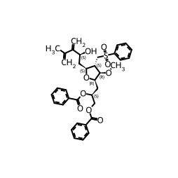 C=C(C)C(=C)[C@@H](O)C[C@@H]1O[C@H](C[C@@H](COC(=O)c2ccccc2)OC(=O)c2ccccc2)[C@H](OC)[C@H]1CS(=O)(=O)c1ccccc1